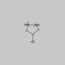 [O]C1CNNC1